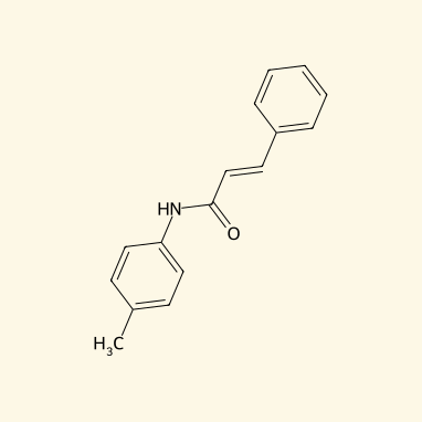 Cc1ccc(NC(=O)C=Cc2ccccc2)cc1